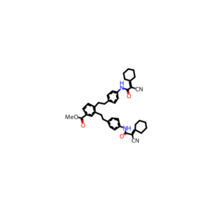 COC(=O)c1ccc(CCc2ccc(NC(=O)C(C#N)=C3CCCCC3)cc2)c(CCc2ccc(NC(=O)C(C#N)=C3CCCCC3)cc2)c1